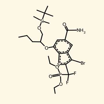 CCCC(CO[Si](C)(C)C(C)(C)C)Oc1cc(C(N)=O)cc2c(Br)c(C(F)(F)P(=O)(OCC)OCC)sc12